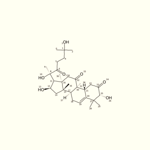 CC(C)(O)CCC(=O)[C@](C)(O)C1[C@H](O)C[C@@]2(C)[C@@H]3CC=C4[C@@H](CC(=O)[C@H](O)C4(C)C)[C@]3(C)C(=O)C[C@]12C